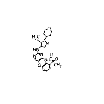 CCc1c(Nc2ncc(Cl)c(Nc3ccccc3P(C)(C)=O)n2)cnn1C1CCOCC1